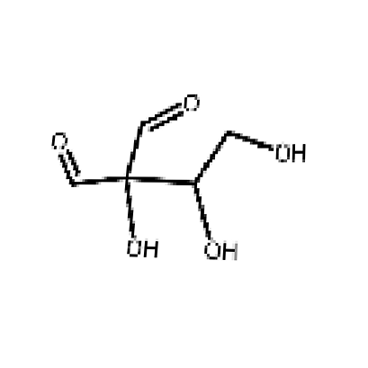 O=CC(O)(C=O)C(O)CO